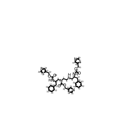 O=C(NC(CNCCN(CC(Cc1ccccc1)NC(=O)OCc1cncs1)C(=O)OCc1cncs1)Cc1ccccc1)OCc1cncs1